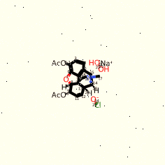 CC(=O)Oc1ccc2c3c1O[C@H]1[C@@H](OC(C)=O)C=C[C@H]4[C@@H](C2)N(C)CC[C@@]341.OO.[Na+].[O-]Cl